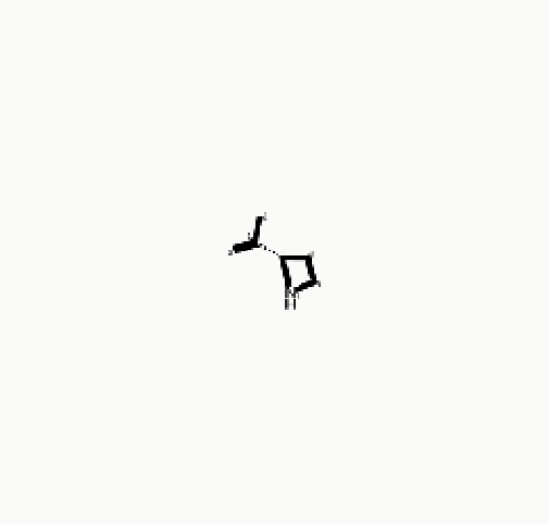 C=C(C)[C@@H]1CCN1